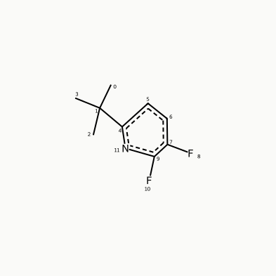 CC(C)(C)c1ccc(F)c(F)n1